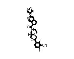 N#Cc1c(F)ccc(C2CN3CCN(C(=O)C4CCc5cc(-n6cnnn6)ncc54)C[C@H]3CO2)c1F